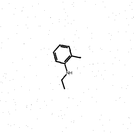 CCNc1[c]cccc1C